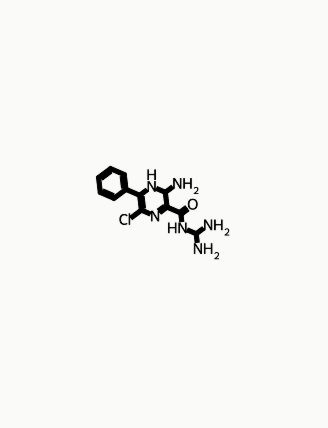 NC(N)NC(=O)C1=NC(Cl)=C(c2ccccc2)NC1N